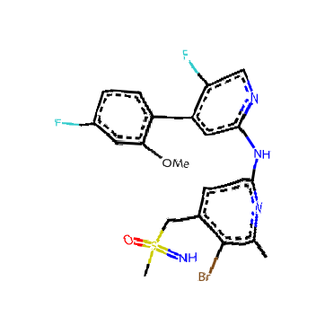 COc1cc(F)ccc1-c1cc(Nc2cc(CS(C)(=N)=O)c(Br)c(C)n2)ncc1F